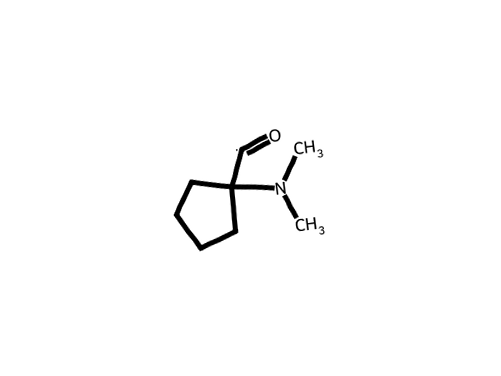 CN(C)C1([C]=O)CCCC1